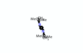 CO[Si](C)(CCC/N=C/c1ccc(/C=N/CCC[Si](C)(OC)OC)cc1)OC